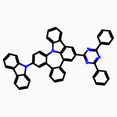 c1ccc(-c2nc(-c3ccccc3)nc(-c3cc4c5c(c3)c3ccccc3n5-c3ccc(-n5c6ccccc6c6ccccc65)cc3-c3ccccc3-4)n2)cc1